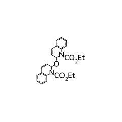 CCOC(=O)N1c2ccccc2C=CC1OC1C=Cc2ccccc2N1C(=O)OCC